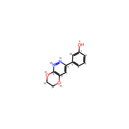 Oc1cccc(-c2cc3c(nn2)OCCO3)c1